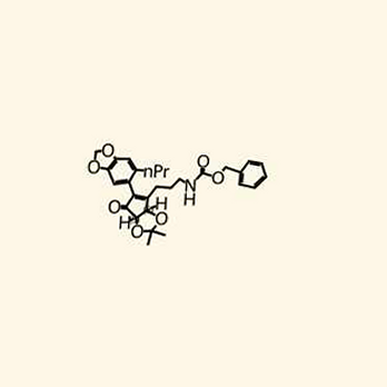 CCCc1cc2c(cc1C1=C(CCCNC(=O)OCc3ccccc3)[C@@H]3OC(C)(C)O[C@@H]3C1=O)OCO2